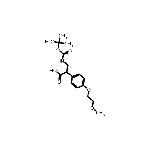 COCCOc1ccc(C(CNC(=O)OC(C)(C)C)C(=O)O)cc1